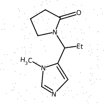 CCC(c1cncn1C)N1CCCC1=O